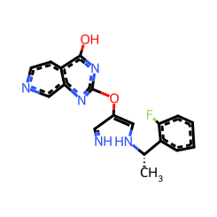 C[C@H](N/C=C(\C=N)Oc1nc(O)c2ccncc2n1)c1ccccc1F